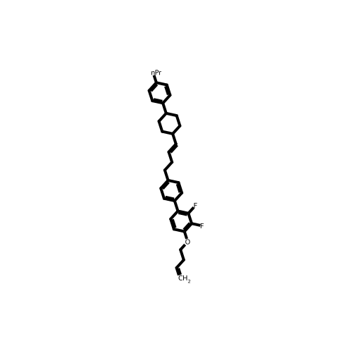 C=CCCOc1ccc(-c2ccc(CC/C=C/C3CCC(c4ccc(CCC)cc4)CC3)cc2)c(F)c1F